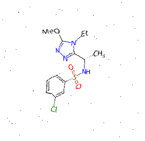 CCn1c(OC)nnc1[C@H](C)NS(=O)(=O)c1cccc(Cl)c1